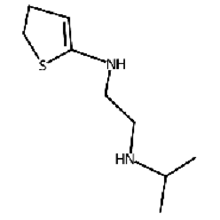 CC(C)NCCNC1=CCCS1